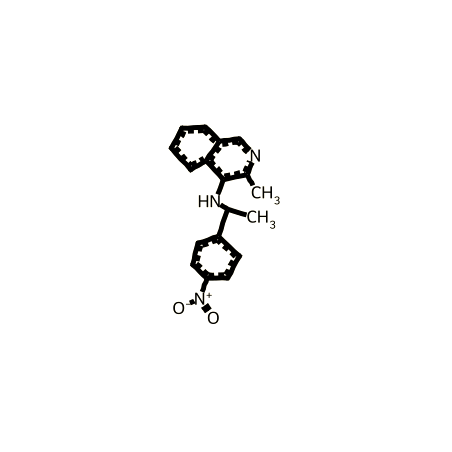 Cc1ncc2ccccc2c1NC(C)c1ccc([N+](=O)[O-])cc1